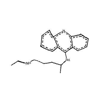 CCNCCCC(C)Nc1c2ccccc2nc2ccccc12